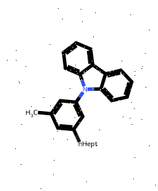 CCCCCCCc1cc(C)cc(-n2c3ccccc3c3ccccc32)c1